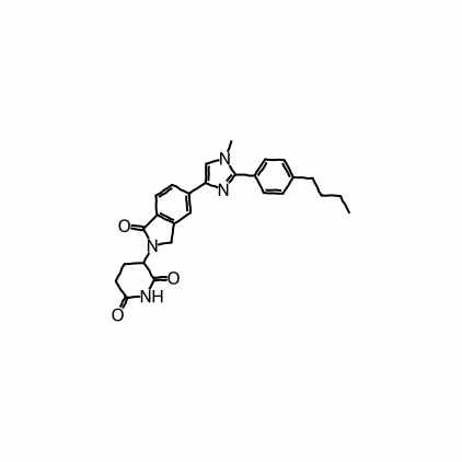 CCCCc1ccc(-c2nc(-c3ccc4c(c3)CN(C3CCC(=O)NC3=O)C4=O)cn2C)cc1